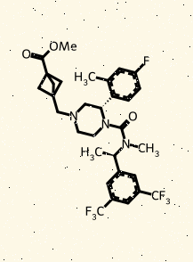 COC(=O)C12CC(CN3CCN(C(=O)N(C)[C@H](C)c4cc(C(F)(F)F)cc(C(F)(F)F)c4)[C@@H](c4ccc(F)cc4C)C3)(C1)C2